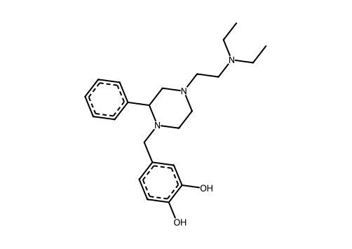 CCN(CC)CCN1CCN(Cc2ccc(O)c(O)c2)C(c2ccccc2)C1